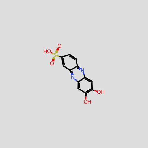 O=S(=O)(O)c1ccc2nc3cc(O)c(O)cc3nc2c1